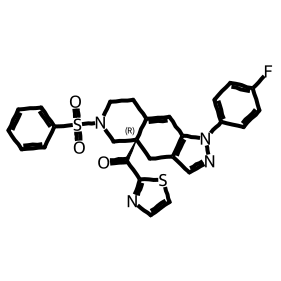 O=C(c1nccs1)[C@]12Cc3cnn(-c4ccc(F)cc4)c3C=C1CCN(S(=O)(=O)c1ccccc1)C2